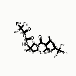 Cc1cc(C(F)(F)F)nc(Cl)c1C(=O)N1CCC(C)(NC(=O)OC(=O)C(F)(F)F)C1